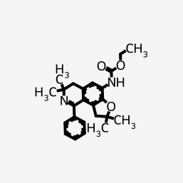 CCOC(=O)Nc1cc2c(c3c1OC(C)(C)C3)C(c1ccccc1)=NC(C)(C)C2